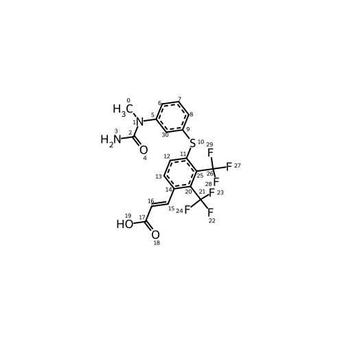 CN(C(N)=O)c1cccc(Sc2ccc(C=CC(=O)O)c(C(F)(F)F)c2C(F)(F)F)c1